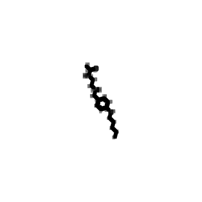 CCCCCOc1ccc(CNCCNC(C)=O)cc1